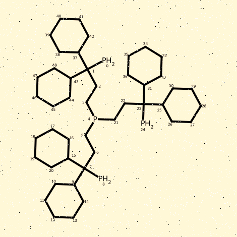 PC(CCP(CCC(P)(C1CCCCC1)C1CCCCC1)CCC(P)(C1CCCCC1)C1CCCCC1)(C1CCCCC1)C1CCCCC1